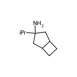 CC(C)C1(N)CC2CCC2C1